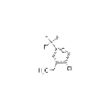 [CH2]Cc1cc(C(F)(F)F)ccc1Cl